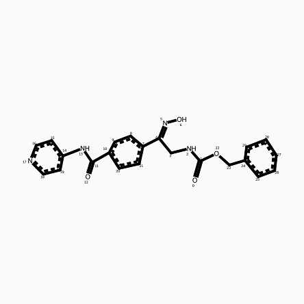 O=C(NCC(=NO)c1ccc(C(=O)Nc2ccncc2)cc1)OCc1ccccc1